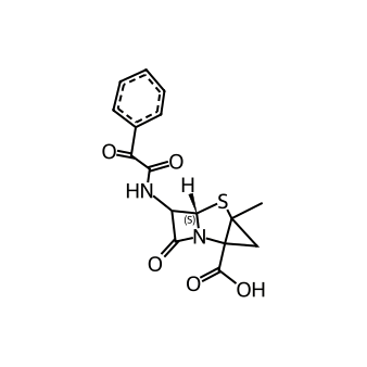 CC12CC1(C(=O)O)N1C(=O)C(NC(=O)C(=O)c3ccccc3)[C@@H]1S2